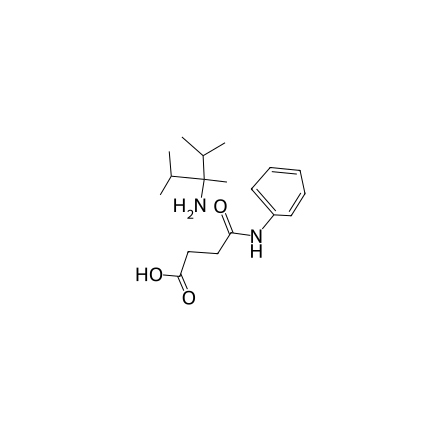 CC(C)C(C)(N)C(C)C.O=C(O)CCC(=O)Nc1ccccc1